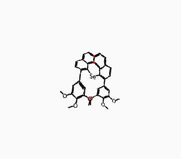 COc1cc(-c2ccc3ccccc3c2[Se]c2c(-c3cc(OC)c(OC)c(OC)c3)ccc3ccccc23)cc(OC)c1OC